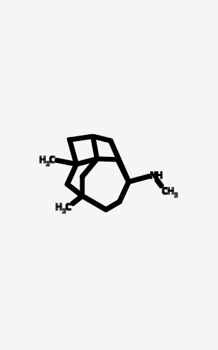 CNC12CCC3(C)CC4(C)CC(C1)C4(C3)C2